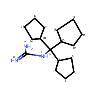 N=C(N)NC(C1CCCC1)(C1CCCC1)C1CCCC1